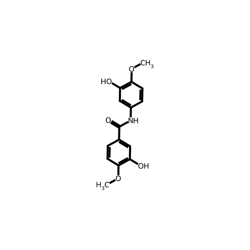 COc1ccc(NC(=O)c2ccc(OC)c(O)c2)cc1O